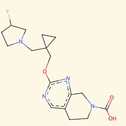 O=C(O)N1CCc2cnc(OCC3(CN4CCC(F)C4)CC3)nc2C1